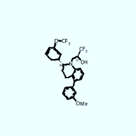 COc1cccc(-c2cccc3c2CC[C@H](C2C=C(OC(F)(F)F)C=CC2)N3C[C@H](O)C(F)(F)F)c1